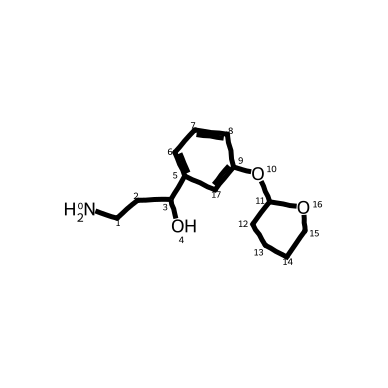 NCCC(O)c1cccc(OC2CCCCO2)c1